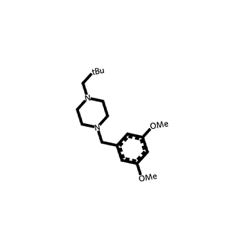 COc1cc(CN2CCN(CC(C)(C)C)CC2)cc(OC)c1